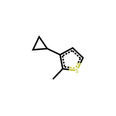 Cc1sccc1C1CC1